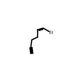 [C]#CCC/C=C\CC